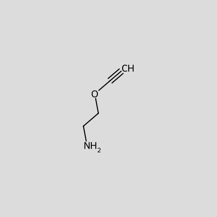 C#COCCN